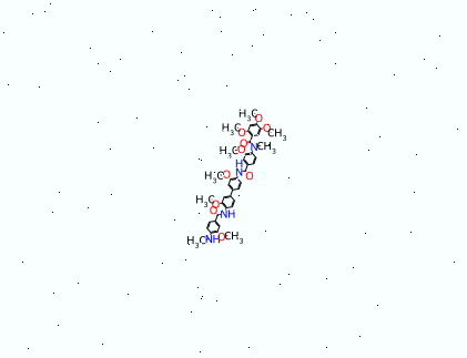 CNc1ccc(C(=O)Nc2ccc(-c3ccc(NC(=O)c4ccc(N(C)C(=O)c5cc(OC)c(OC)cc5OC)c(OC)c4)c(OC)c3)cc2OC)cc1OC